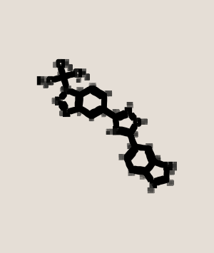 CC(C)(C)n1nnc2cc(-c3noc(-c4ccc5nc[nH]c5c4)n3)ccc21